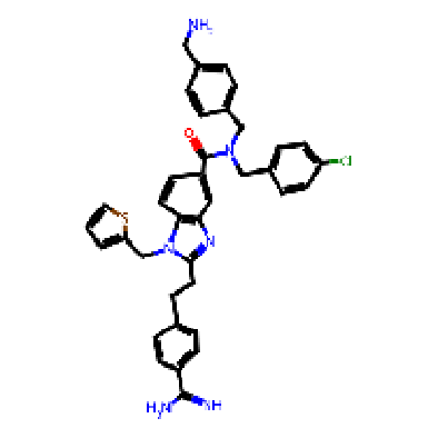 N=C(N)c1ccc(CCc2nc3cc(C(=O)N(Cc4ccc(Cl)cc4)Cc4ccc(CN)cc4)ccc3n2Cc2cccs2)cc1